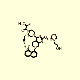 C=C(F)C(=O)N1CCN(c2nc(OC[C@@H]3CCCN3CCO)nc3c2CCN(c2cccc4cccc(C)c24)C3)C[C@@H]1CC#N